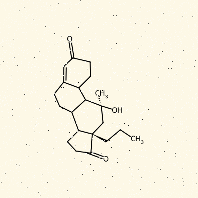 CCC[C@]12C[C@](C)(O)C3C4CCC(=O)C=C4CCC3C1CCC2=O